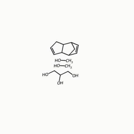 C1=CC2C3C=CC(C3)C2C1.CO.CO.OCC(O)CO